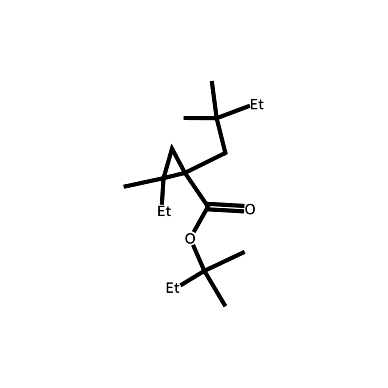 CCC(C)(C)CC1(C(=O)OC(C)(C)CC)CC1(C)CC